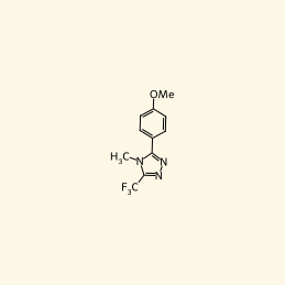 COc1ccc(-c2nnc(C(F)(F)F)n2C)cc1